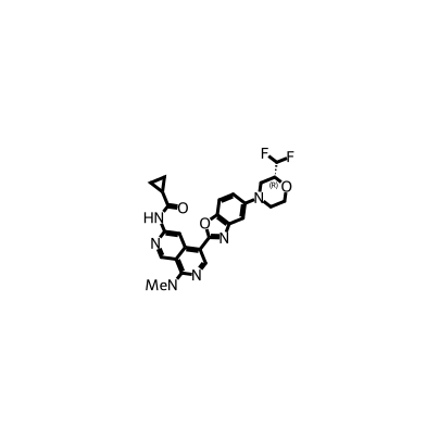 CNc1ncc(-c2nc3cc(N4CCO[C@@H](C(F)F)C4)ccc3o2)c2cc(NC(=O)C3CC3)ncc12